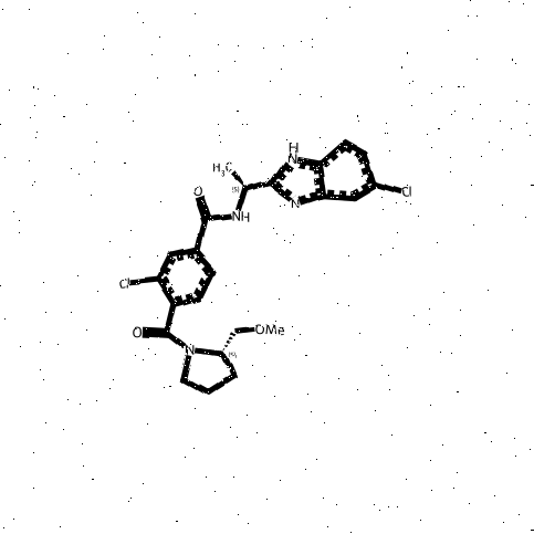 COC[C@@H]1CCCN1C(=O)c1ccc(C(=O)N[C@@H](C)c2nc3cc(Cl)ccc3[nH]2)cc1Cl